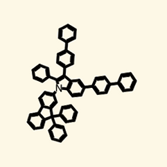 c1ccc(-c2ccc(-c3ccc4c(c3)c(-c3ccc(-c5ccccc5)cc3)c(-c3ccccc3)n4-c3ccc4c(c3)C(c3ccccc3)(c3ccccc3)c3ccccc3-4)cc2)cc1